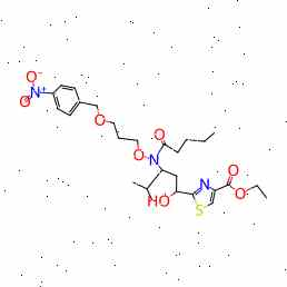 CCCCC(=O)N(OCCCOCc1ccc([N+](=O)[O-])cc1)C(CC(O)c1nc(C(=O)OCC)cs1)C(C)C